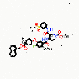 COc1cc(F)c(OC2CCC(C)(C(=O)OCc3cccc4ccccc34)CC2)cc1C(=O)N[C@@H]1CCN(C(=O)OC(C)(C)C)C[C@@H]1C(=O)Nc1cccc(S(=O)(=O)C(F)(F)F)c1